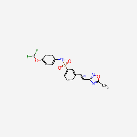 O=S(=O)(Nc1ccc(OC(F)F)cc1)c1cccc(/C=C/c2noc(C(F)(F)F)n2)c1